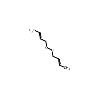 CC=CCOOCC=CC